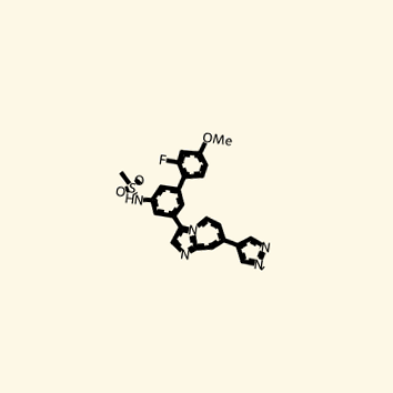 COc1ccc(-c2cc(NS(C)(=O)=O)cc(-c3cnc4cc(-c5cnn(C)c5)ccn34)c2)c(F)c1